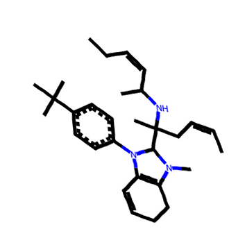 C/C=C\CC(C)(NC(C)/C=C\CC)C1N(C)C2=C(C=CCC2)N1c1ccc(C(C)(C)C)cc1